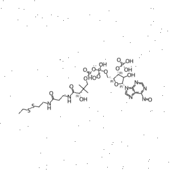 CCSSCCNC(=O)CCNC(=O)[C@@H](O)C(C)(C)COP(=O)(O)OP(=O)(O)OC[C@H]1O[C@@H](n2cnc3c(N=O)ncnc32)C(O)[C@H]1OP(=O)(O)O